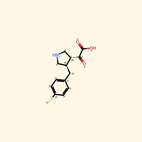 O=C(O)C(=O)[C@H]1CNC[C@@H]1Cc1ccc(F)cc1